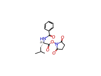 CC(C)C[C@H](NC(=O)c1ccccc1)C(=O)ON1C(=O)CCC1=O